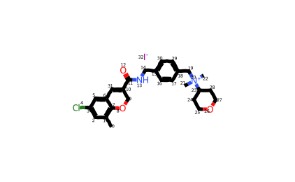 Cc1cc(Cl)cc2c1OCC(C(=O)NCc1ccc(C[N+](C)(C)C3CCOCC3)cc1)=C2.[I-]